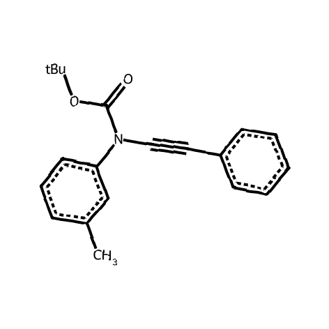 Cc1cccc(N(C#Cc2ccccc2)C(=O)OC(C)(C)C)c1